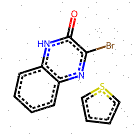 O=c1[nH]c2ccccc2nc1Br.c1ccsc1